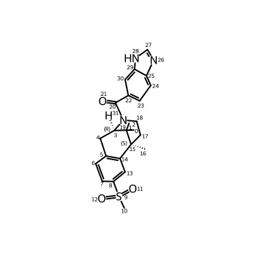 CC1(C)[C@H]2Cc3ccc(S(C)(=O)=O)cc3[C@]1(C)CCN2C(=O)c1ccc2nc[nH]c2c1